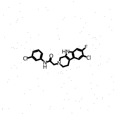 O=C(CN1CCc2c([nH]c3cc(F)c(Cl)cc23)C1)Nc1cccc(Cl)c1